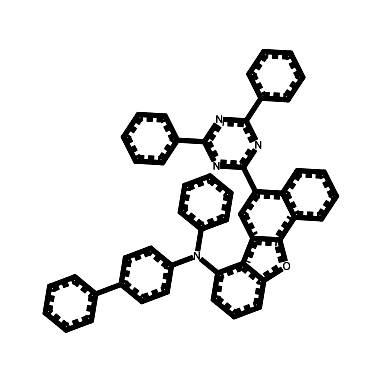 c1ccc(-c2ccc(N(c3ccccc3)c3cccc4oc5c6ccccc6c(-c6nc(-c7ccccc7)nc(-c7ccccc7)n6)cc5c34)cc2)cc1